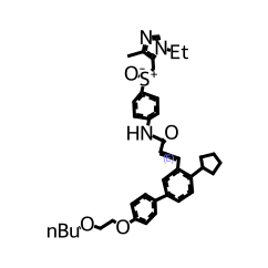 CCCCOCCOc1ccc(-c2ccc(C3CCCC3)c(/C=C/C(=O)Nc3ccc([S+]([O-])Cc4c(C)ncn4CC)cc3)c2)cc1